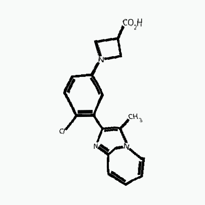 Cc1c(-c2cc(N3CC(C(=O)O)C3)ccc2Cl)nc2ccccn12